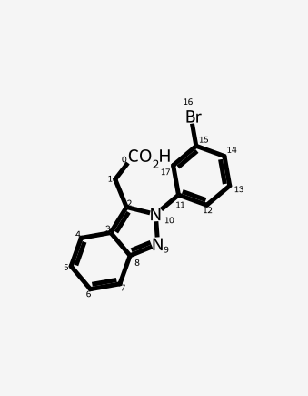 O=C(O)Cc1c2ccccc2nn1-c1cccc(Br)c1